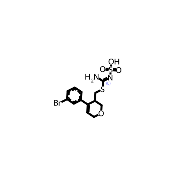 N/C(=N\S(=O)(=O)O)SCC1COCC=C1c1cccc(Br)c1